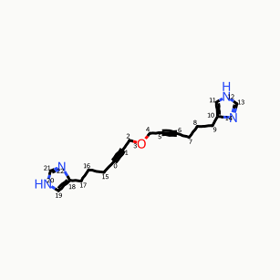 C(#CCOCC#CCCCc1c[nH]cn1)CCCc1c[nH]cn1